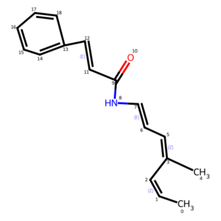 C\C=C/C(C)=C\C=C\NC(=O)/C=C/c1ccccc1